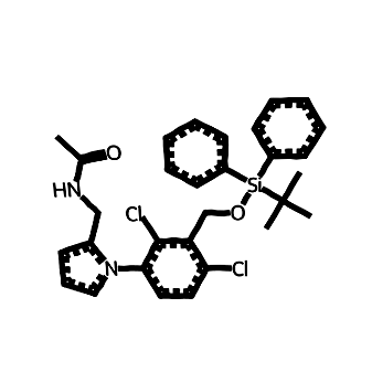 CC(=O)NCc1cccn1-c1ccc(Cl)c(CO[Si](c2ccccc2)(c2ccccc2)C(C)(C)C)c1Cl